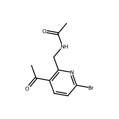 CC(=O)NCc1nc(Br)ccc1C(C)=O